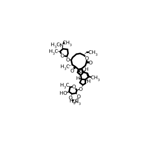 CC[C@H]1CCC[C@H](O[C@H]2CC[C@H](N(C)C)[C@@H](C)O2)[C@@H](C)C(=O)C2=C[C@@H]3[C@@H](C=C(C)[C@H]4C[C@H](O[C@@H]5O[C@@H](C)[C@H](O)[C@@H](OC)[C@H]5OC)C[C@H]34)[C@@H]2CC(=O)O1